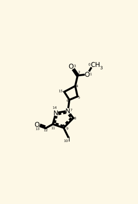 COC(=O)C1CC(n2cc(I)c(C=O)n2)C1